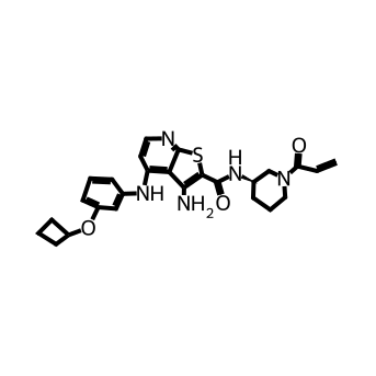 C=CC(=O)N1CCC[C@@H](NC(=O)c2sc3nccc(Nc4cccc(OC5CCC5)c4)c3c2N)C1